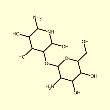 NC1NC(O)C(OC2OC(CO)C(O)C(O)C2N)C(O)C1O